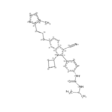 CC(C)NC(=O)Nc1ccc(-c2c(C#N)c3ccc(SCCc4nncn4C)cc3n2C2CCC2)cc1